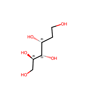 OCC[C@@H](O)[C@H](O)[C@H](O)CO